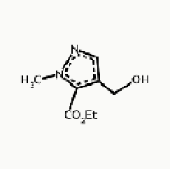 CCOC(=O)c1c(CO)cnn1C